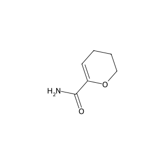 NC(=O)C1=CCCCO1